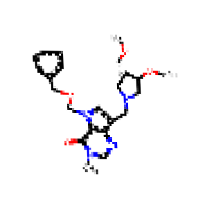 CCCCOC[C@H]1CN(Cc2cn(COCc3ccccc3)c3c(=O)n(C)cnc23)CC1OCCCC